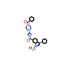 Cn1cc(-c2ccccc2)c2ccc(C(=O)N3CC(N4CCN(C(=O)c5ccccc5)CC4)C3)cc21